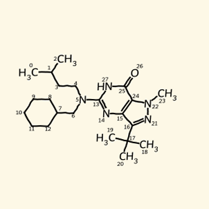 CC(C)CCN(CC1CCCCC1)c1nc2c(C(C)(C)C)nn(C)c2c(=O)[nH]1